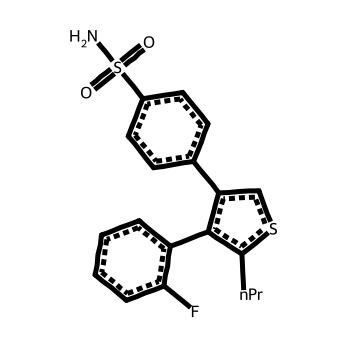 CCCc1scc(-c2ccc(S(N)(=O)=O)cc2)c1-c1ccccc1F